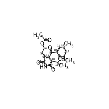 CC(=O)OCCn1c(C(=O)c2cc(C)cc(C)c2)c(C(C)C)c(=O)[nH]c1=O